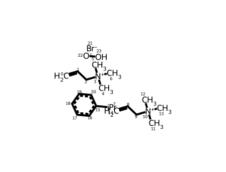 C=CC[N+](C)(C)C.C=CC[N+](C)(C)C.CC(C)c1ccccc1.[Br-].[O-]O